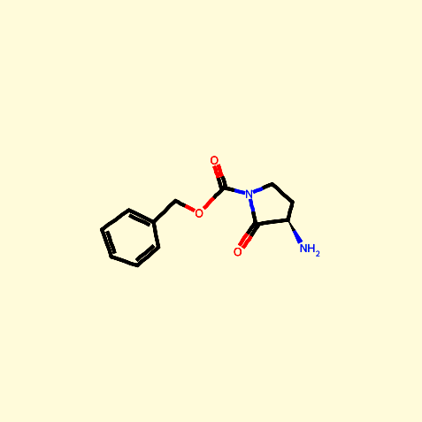 N[C@@H]1CCN(C(=O)OCc2ccccc2)C1=O